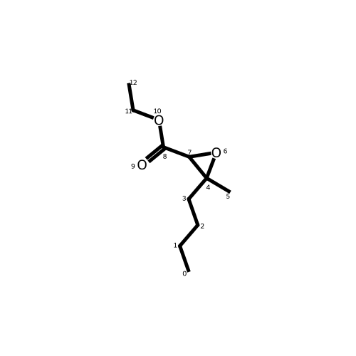 CCCCC1(C)OC1C(=O)OCC